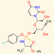 C#C[C@H](O)[C@@H](COP(=S)(N[C@@H](C)C(=O)OC(C)C)Oc1ccc(F)cc1)O[C@H](CO)n1ccc(=O)[nH]c1=O